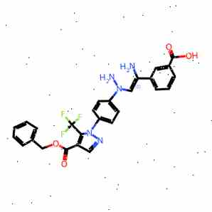 N/C(=C\N(N)c1ccc(-n2ncc(C(=O)OCc3ccccc3)c2C(F)(F)F)cc1)c1cccc(C(=O)O)c1